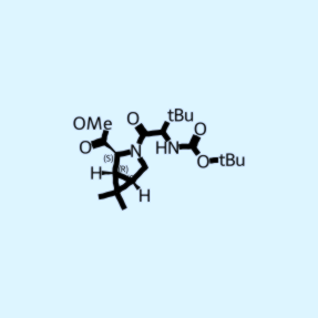 COC(=O)[C@@H]1[C@@H]2[C@H](CN1C(=O)C(NC(=O)OC(C)(C)C)C(C)(C)C)C2(C)C